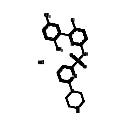 Cc1ccc(C(F)(F)F)cc1-c1nc(NS(=O)(=O)c2cccc(N3CCNCC3)n2)ccc1Cl.Cl